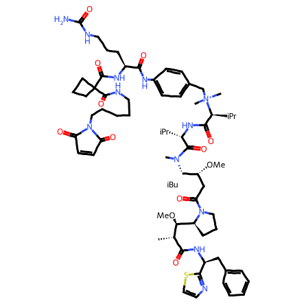 CC[C@H](C)[C@@H]([C@@H](CC(=O)N1CCC[C@H]1[C@H](OC)[C@@H](C)C(=O)N[C@@H](Cc1ccccc1)c1nccs1)OC)N(C)C(=O)[C@@H](NC(=O)[C@H](C(C)C)[N+](C)(C)Cc1ccc(NC(=O)[C@H](CCCNC(N)=O)NC(=O)C2(C(=O)NCCCCCN3C(=O)C=CC3=O)CCC2)cc1)C(C)C